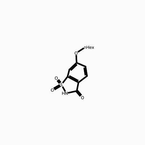 CCCCCCOc1ccc2c(c1)S(=O)(=O)NC2=O